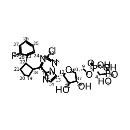 O=P(O)(O)CP(=O)(O)OC[C@H]1O[C@@H](c2cnc3c(C4CCC[C@H]4c4ccccc4F)nc(Cl)nn23)[C@H](O)[C@@H]1O